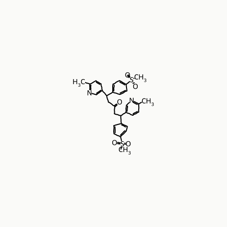 Cc1ccc(C(CC(=O)CC(c2ccc(S(C)(=O)=O)cc2)c2ccc(C)nc2)c2ccc(S(C)(=O)=O)cc2)cn1